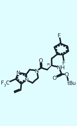 C=Cc1c(C(F)(F)F)nc2n1CCN(C(=O)C[C@@H](Cc1cc(F)ccc1F)NC(=O)OC(C)(C)C)C2